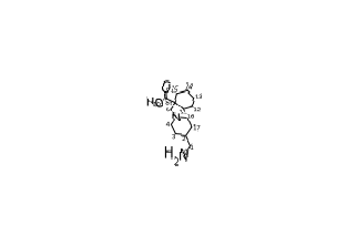 NCC1CCN(CC2(C(=O)O)CCCCC2)CC1